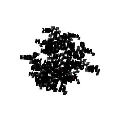 CSCCC(N)C(=O)NC(CCCCN)C(=O)NC(CCC(N)=O)C(=O)NC(Cc1ccccc1)C(=O)NC(CC(N)=O)C(=O)NC(Cc1ccc(O)cc1)C(=O)NC(CC(C)C)C(=O)NC(CO)C(=O)NC(Cc1c[nH]cn1)C(=O)NC(CCCCN)C(=O)NC(CC(=O)O)C(=O)NC(CC(C)C)C(=O)NC(C)C(=O)NC(C(=O)NC(C(=O)NC(C(=O)NCC(=O)NCC(=O)O)C(C)C)C(C)C)C(C)C